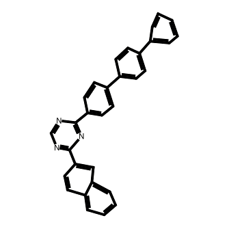 c1ccc(-c2ccc(-c3ccc(-c4ncnc(-c5ccc6ccccc6c5)n4)cc3)cc2)cc1